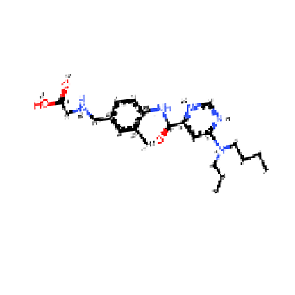 CCCCN(CCC)c1cc(C(=O)Nc2ccc(CNCC(=O)O)cc2C)ncn1